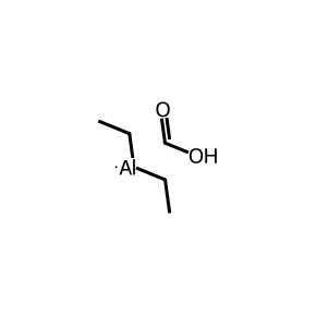 C[CH2][Al][CH2]C.O=CO